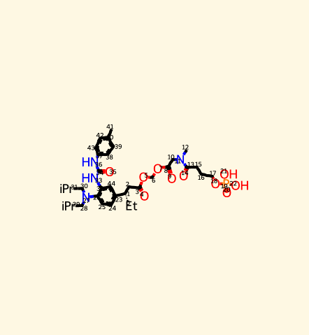 CC[C@@H](CC(=O)OCOC(=O)CN(C)C(=O)CCCOP(=O)(O)O)c1ccc(N(CC(C)C)CC(C)C)c(NC(=O)Nc2ccc(C)cc2)c1